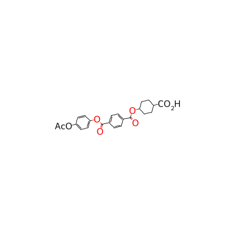 CC(=O)Oc1ccc(OC(=O)c2ccc(C(=O)OC3CCC(C(=O)O)CC3)cc2)cc1